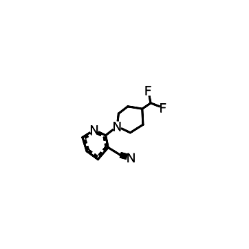 N#Cc1cccnc1N1CCC(C(F)F)CC1